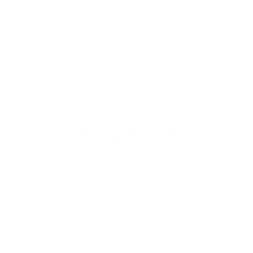 O=C(NC1CCC(c2ccnc3ccc(F)cc23)CC1)c1ccccc1